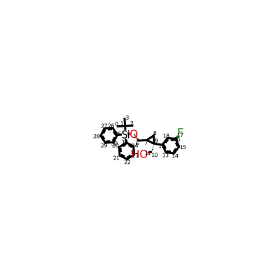 CC(C)(C)[Si](OCC1C[C@@]1(CO)c1cccc(F)c1)(c1ccccc1)c1ccccc1